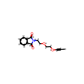 CC#COCCOCCN1C(=O)c2ccccc2C1=O